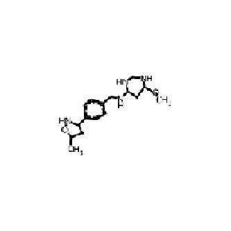 COC1CC(NCc2ccc(C3CC(C)ON3)cc2)NCN1